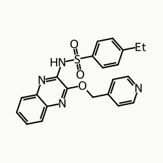 CCc1ccc(S(=O)(=O)Nc2nc3ccccc3nc2OCc2ccncc2)cc1